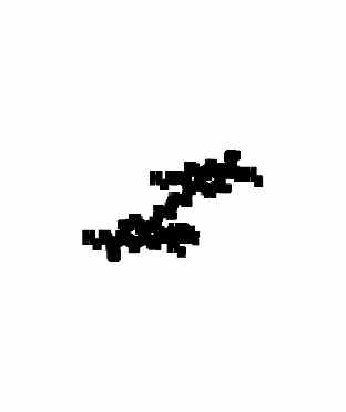 Br.Br.NC(=O)c1cnc2c(c1)nc(N)n2C/C=C/Cn1c(N)nc2cc(C(N)=O)cnc21